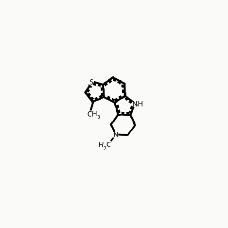 Cc1csc2ccc3[nH]c4c(c3c12)CN(C)CC4